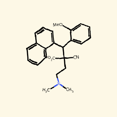 COc1ccccc1C(c1cccc2ccccc12)C(C#N)(CCN(C)C)C(=O)O